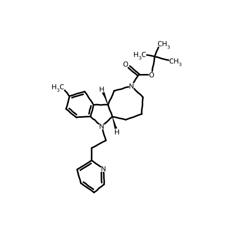 Cc1ccc2c(c1)[C@@H]1CN(C(=O)OC(C)(C)C)CCC[C@@H]1N2CCc1ccccn1